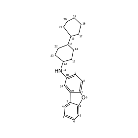 c1ccc2c(c1)oc1ccc(NC3CCC(C4CCCCC4)CC3)cc12